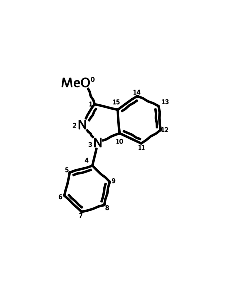 COc1nn(-c2ccccc2)c2ccccc12